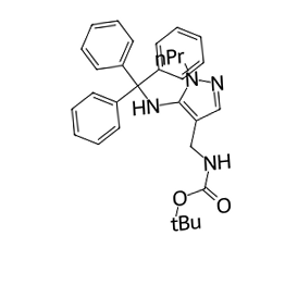 CCCn1ncc(CNC(=O)OC(C)(C)C)c1NC(c1ccccc1)(c1ccccc1)c1ccccc1